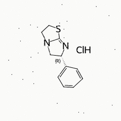 Cl.c1ccc([C@@H]2CN3CCSC3=N2)cc1